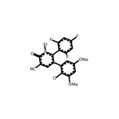 CCn1c(-c2c(F)cc(F)cc2F)c(-c2cc(OC)cc(OC)c2Cl)cc(C#N)c1=O